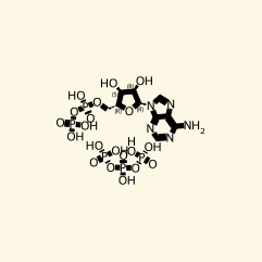 Nc1ncnc2c1ncn2[C@@H]1O[C@H](COP(=O)(O)OP(=O)(O)O)[C@@H](O)[C@H]1O.O=P(O)(O)OP(=O)(O)OP(=O)(O)O